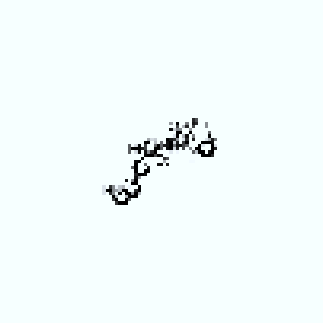 CCC1=C(N2CCC(c3ccc4c(n3)NCCC4)CC2)NCN=C1NC[C@H](NC(=O)Nc1cccc(Cl)c1)C(=O)OC(C)(C)C